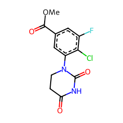 COC(=O)c1cc(F)c(Cl)c(N2CCC(=O)NC2=O)c1